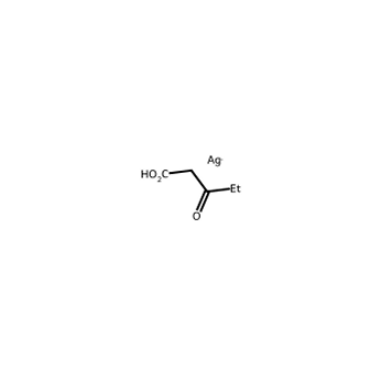 CCC(=O)CC(=O)O.[Ag]